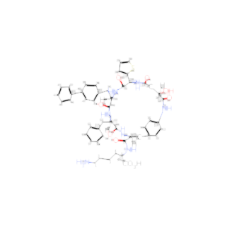 NCCCC[C@H](NC(=O)[C@@H]1Cc2ccc(cc2)NC(=O)[C@H](O)CC(=O)NC(c2cccs2)C(=O)N[C@@H](Cc2ccc(-c3ccccc3)cc2)C(=O)N[C@H](Cc2ccccc2)C(=O)N1)C(=O)O